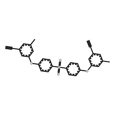 C#Cc1cc(C)cc(Oc2ccc(S(=O)(=O)c3ccc(Oc4cc(C)cc(C#C)c4)cc3)cc2)c1